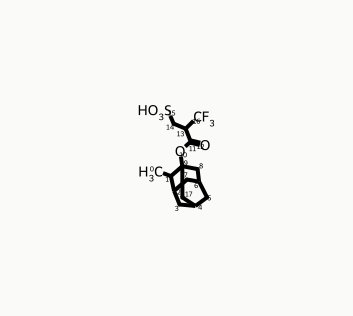 CC1C2CC3CC(C2)CC1(OC(=O)C(CS(=O)(=O)O)C(F)(F)F)C3